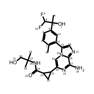 Cc1ccc(C(C)(O)C(F)F)cc1-c1cnc2c(N)nc(C3CC3C(=O)NC(C)(C)CO)cn12